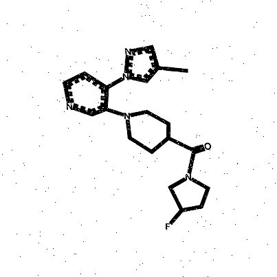 Cc1cnn(-c2ccncc2N2CCC(C(=O)N3CCC(F)C3)CC2)c1